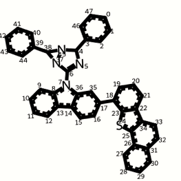 c1ccc(C2N=C(n3c4ccccc4c4ccc(-c5cccc6c5sc5c7ccccc7ccc65)cc43)N3C(c4ccccc4)N23)cc1